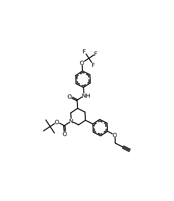 C#CCOc1ccc(C2CC(C(=O)Nc3ccc(OC(F)(F)F)cc3)CN(C(=O)OC(C)(C)C)C2)cc1